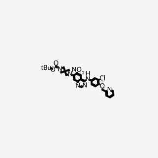 CC(C)(C)OC(=O)N1CC2(C1)CN(c1cc3ncnc(Nc4ccc(OCc5ccccn5)c(Cl)c4)c3cc1[N+](=O)[O-])C2